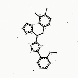 CNc1ncccc1-c1noc(C(Cc2ccc(C)c(C)c2)c2cccs2)n1